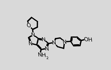 Nc1nc(N2CCN(c3ccc(O)cc3)CC2)nc2c1ncn2C1CCCCO1